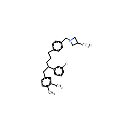 Cc1ccc(CC(CCCc2ccc(CN3CC(C(=O)O)C3)cc2)c2cccc(Cl)c2)cc1C